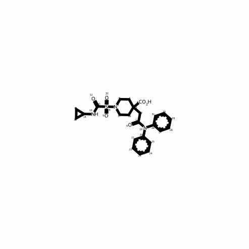 O=C(CC1(C(=O)O)CCN(S(=O)(=O)C(=O)NC2CC2)CC1)N(c1ccccc1)c1ccccc1